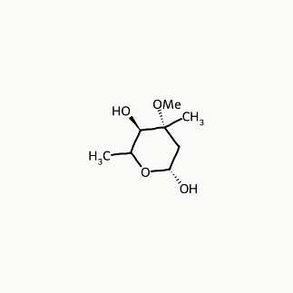 CO[C@]1(C)C[C@H](O)OC(C)[C@H]1O